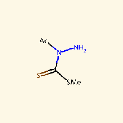 CSC(=S)N(N)C(C)=O